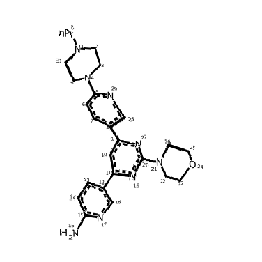 CCCN1CCN(c2ccc(-c3cc(-c4ccc(N)nc4)nc(N4CCOCC4)n3)cn2)CC1